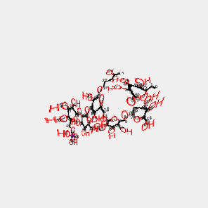 CCC1O[C@@H](OC2[C@@H](OCC3O[C@H](OCC4O[C@@H](OCCCC(C)=O)C(O)[C@@H](O[C@@H]5OC(CO)[C@@H](O)[C@H](O)C5O[C@H]5OC(COP(=O)(O)O)[C@@H](O)[C@H](O)C5O)[C@@H]4O)C(O)[C@@H](O)[C@@H]3O)OC(CO)[C@@H](O)[C@@H]2O)C(O)[C@@H](O)[C@@H]1O